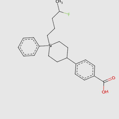 CC(F)CCC[Si]1(c2ccccc2)CCC(c2ccc(C(=O)O)cc2)CC1